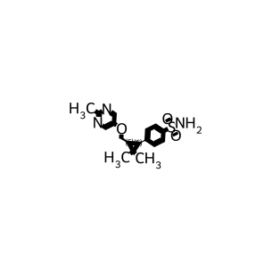 Cc1ncc(OC[C@H]2[C@H](c3ccc(S(N)(=O)=O)cc3)C2(C)C)cn1